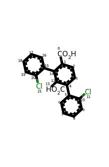 O=C(O)c1ccc(-c2ccccc2Cl)c(C(=O)O)c1-c1ccccc1Cl